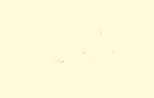 O=C(N[C@@H]1CC[C@@H](NCCC2CCC2)C1)c1cc(F)cc(Cl)c1